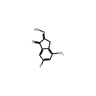 Cc1cc(F)cc2c1C/C(=N/O)C2=O